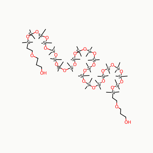 C[Si](C)(CCOCCCO)O[Si](C)(C)O[Si](C)(C)O[Si](C)(C)O[Si](C)(C)O[Si](C)(C)O[Si](C)(C)O[Si](C)(C)O[Si](C)(C)O[Si](C)(C)O[Si](C)(C)O[Si](C)(C)O[Si](C)(C)O[Si](C)(C)O[Si](C)(C)O[Si](C)(C)O[Si](C)(C)O[Si](C)(C)O[Si](C)(C)O[Si](C)(C)O[Si](C)(C)O[Si](C)(C)CCOCCCO